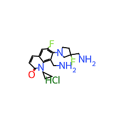 Cl.NCc1c(N2CCC(F)(CN)C2)c(F)cc2ccc(=O)n(C3CC3)c12